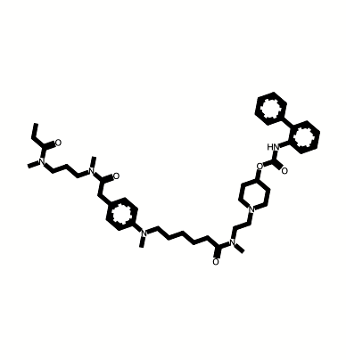 CCC(=O)N(C)CCCN(C)C(=O)Cc1ccc(N(C)CCCCCC(=O)N(C)CCN2CCC(OC(=O)Nc3ccccc3-c3ccccc3)CC2)cc1